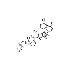 CC(C)C1=C(C(=O)N2CCC[C@H]2C(=O)N2C[C@@H](N)[C@H](F)C2)SC2=N[C@@](C)(c3ccc(Cl)cc3)[C@@H](c3ccc(Cl)cc3)N21